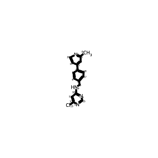 Cc1cc(-c2ccc(CNc3cc(Cl)ncn3)cc2)ccn1